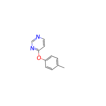 Cc1ccc(Oc2ccncn2)cc1